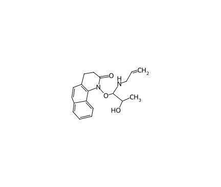 C=CCNC(ON1C(=O)CCc2ccc3ccccc3c21)C(C)O